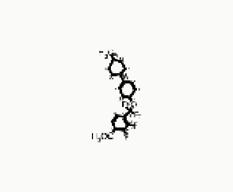 COc1ccc(C(F)(F)Oc2ccc(C3CCC(C)CC3)cc2)c(F)c1F